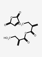 C=C(CC(=O)O)C(=O)OC(=O)C(=C)CC(=O)O.O=C1C=CC(=O)O1